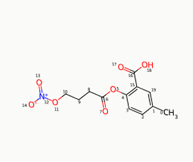 Cc1ccc(OC(=O)CCCO[N+](=O)[O-])c(C(=O)O)c1